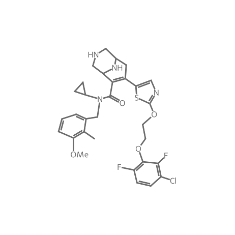 COc1cccc(CN(C(=O)C2=C(c3cnc(OCCOc4c(F)ccc(Cl)c4F)s3)CC3CNCC2N3)C2CC2)c1C